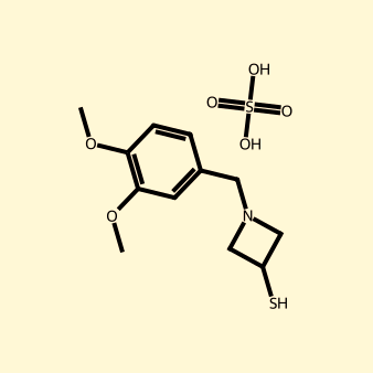 COc1ccc(CN2CC(S)C2)cc1OC.O=S(=O)(O)O